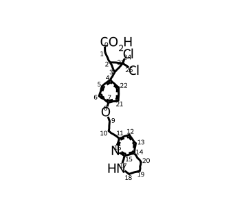 O=C(O)CC1C(c2ccc(OCCc3ccc4c(n3)NCCC4)cc2)C1(Cl)Cl